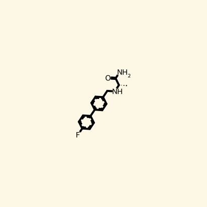 C[C@H](NCc1ccc(-c2ccc(F)cc2)cc1)C(N)=O